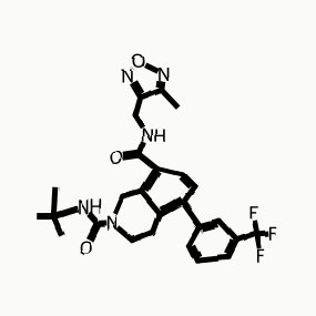 Cc1nonc1CNC(=O)c1ccc(-c2cccc(C(F)(F)F)c2)c2c1CN(C(=O)NC(C)(C)C)CC2